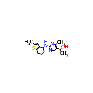 Cc1cc2c(s1)CCCC2Nc1ncc(C(C)O)c(C)n1